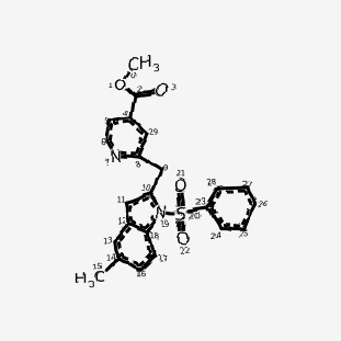 COC(=O)c1ccnc(Cc2cc3cc(C)ccc3n2S(=O)(=O)c2ccccc2)c1